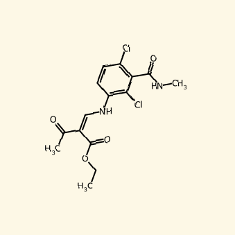 CCOC(=O)C(=CNc1ccc(Cl)c(C(=O)NC)c1Cl)C(C)=O